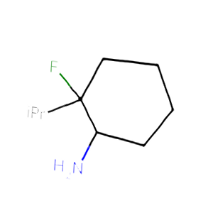 CC(C)C1(F)CCCCC1N